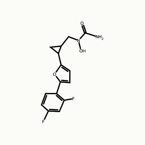 NC(=O)N(O)CC1CC1c1ccc(-c2ccc(F)cc2F)o1